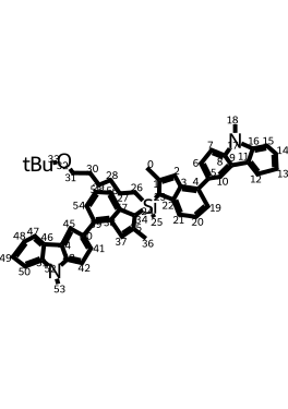 CC1=Cc2c(-c3ccc4c(c3)c3ccccc3n4C)cccc2C1[Si](C)(CCCCCCOC(C)(C)C)C1C(C)=Cc2c(-c3ccc4c(c3)c3ccccc3n4C)cccc21